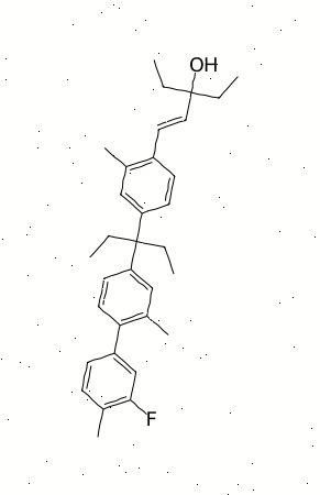 CCC(O)(/C=C/c1ccc(C(CC)(CC)c2ccc(-c3ccc(C)c(F)c3)c(C)c2)cc1C)CC